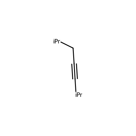 [CH2]C(C)CC#CC(C)C